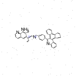 C=C/C(=C\N=C\c1ccc(-c2nc3ccccc3c3c4ccccc4c4ccccc4c23)cc1)c1cc2cccnc2c(N)c1C=C